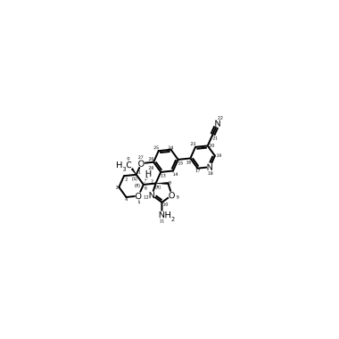 C[C@]12CCCO[C@@H]1[C@]1(COC(N)=N1)c1cc(-c3cncc(C#N)c3)ccc1O2